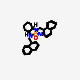 NP1(=O)N(Cc2cccc3ccccc23)[C@@H]2CCCC[C@H]2N1Cc1cccc2ccccc12